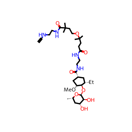 C#CNCCNC(=O)C(C)(C)CCOC(C)(C)CCC(=O)NCCNC(=O)[C@@H]1C[C@H](CC)[C@@H](O[C@@H]2O[C@@H](C)C[C@@H](O)[C@@H]2O)[C@H](OC)C1